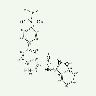 CC(C)S(=O)(=O)c1ccc(-c2cnc3[nH]cc(C(=O)Nc4noc5ccccc45)c3n2)cc1